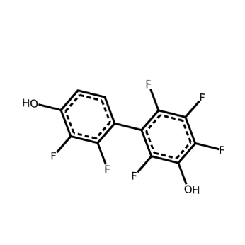 Oc1ccc(-c2c(F)c(O)c(F)c(F)c2F)c(F)c1F